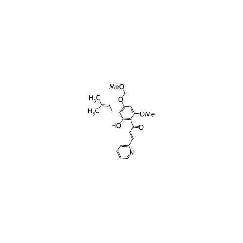 COCOc1cc(OC)c(C(=O)/C=C/c2ccccn2)c(O)c1CC=C(C)C